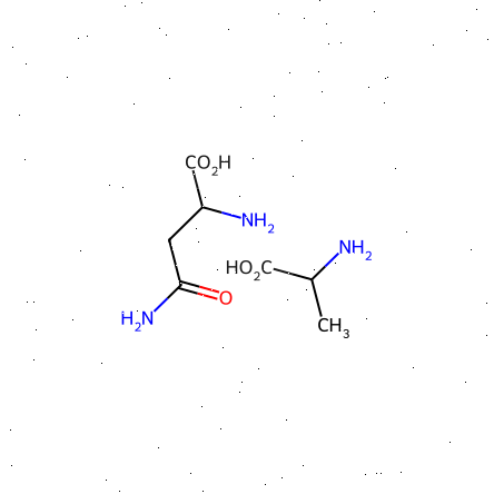 CC(N)C(=O)O.NC(=O)CC(N)C(=O)O